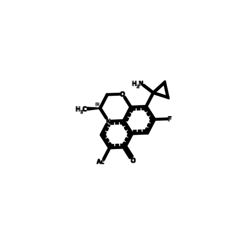 CC(=O)c1cn2c3c(c(C4(N)CC4)c(F)cc3c1=O)OC[C@@H]2C